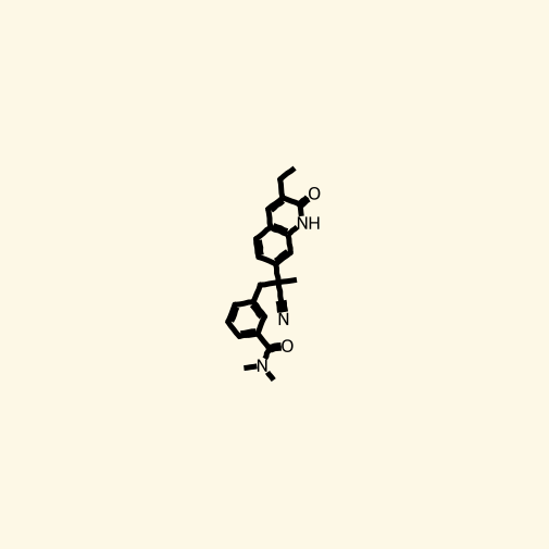 CCc1cc2ccc(C(C)(C#N)Cc3cccc(C(=O)N(C)C)c3)cc2[nH]c1=O